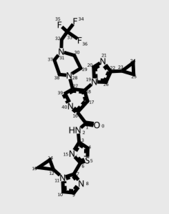 O=C(Nc1csc(-c2nccn2C2CC2)n1)c1cc(-n2cnc(C3CC3)c2)c(N2CCN(CC(F)(F)F)CC2)cn1